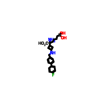 N[C@](CCCCB(O)O)(C(=O)O)C1CC(NCc2ccc(-c3ccc(F)cc3)cc2)C1